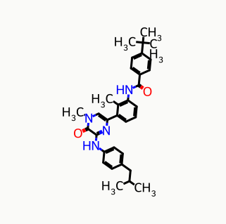 Cc1c(NC(=O)c2ccc(C(C)(C)C)cc2)cccc1-c1cn(C)c(=O)c(Nc2ccc(CC(C)C)cc2)n1